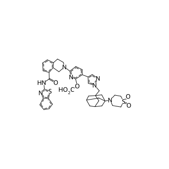 O=C(O)Oc1nc(N2CCc3cccc(C(=O)Nc4nc5ccccc5s4)c3C2)ccc1-c1cnn(CC23CC4CC(C2)CC(N2CCS(=O)(=O)CC2)(C4)C3)c1